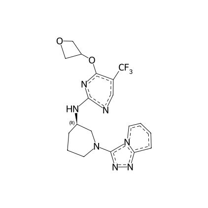 FC(F)(F)c1cnc(N[C@@H]2CCCN(c3nnc4ccccn34)C2)nc1OC1COC1